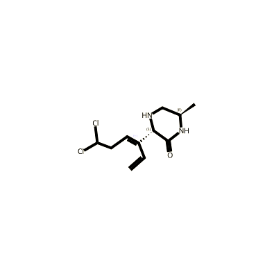 C=C/C(=C\CC(Cl)Cl)[C@@H]1NC[C@@H](C)NC1=O